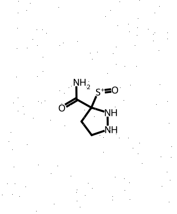 NC(=O)C1([S+]=O)CCNN1